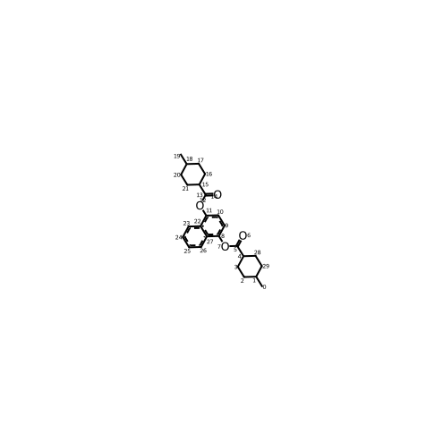 CC1CCC(C(=O)Oc2ccc(OC(=O)C3CCC(C)CC3)c3ccccc23)CC1